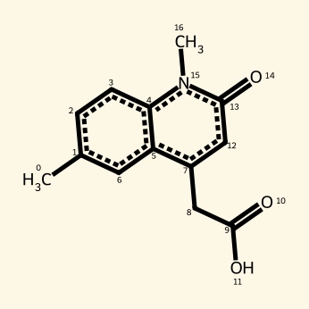 Cc1ccc2c(c1)c(CC(=O)O)cc(=O)n2C